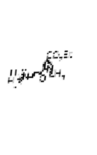 CCOC(=O)c1cc(C(=O)C=CN(C)C)n(C)c1